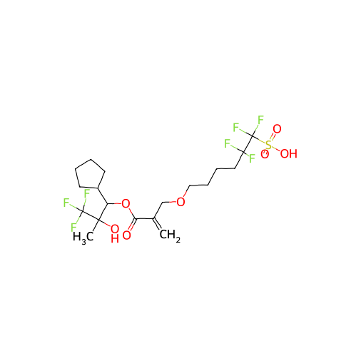 C=C(COCCCCC(F)(F)C(F)(F)S(=O)(=O)O)C(=O)OC(C1CCCC1)C(C)(O)C(F)(F)F